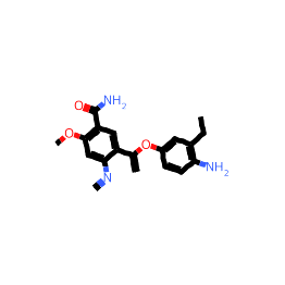 C=Nc1cc(OC)c(C(N)=O)cc1C(=C)Oc1ccc(N)c(CC)c1